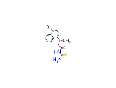 CC(CC(=O)NC(N)=S)c1ccc(Br)c2ccccc12